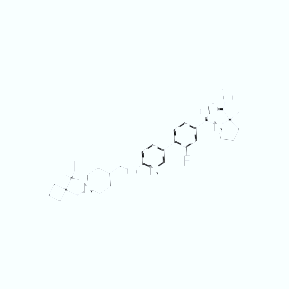 COC(=O)C1(C)CCCN1C(=O)c1ccc(-c2ccc(OCC3CCN(CC4(C(F)(F)F)CCC4)CC3)nc2)c(F)c1